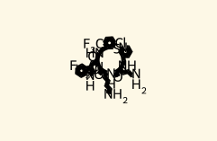 CN1C(=O)C(CCCCN)NC(=O)C(CCCN)NCc2cccnc2Sc2c(Cl)ccc(C(F)(F)F)c2CNC(=O)C1Cc1c[nH]c2ccc(F)cc12